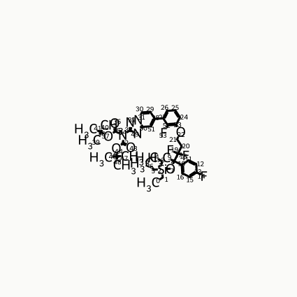 CC[Si](CC)(CC)OC(C)(c1ccc(F)cc1)C(F)(F)CCOc1cccc(-c2ccn3nc(N(C(=O)OC(C)(C)C)C(=O)OC(C)(C)C)nc3c2)c1F